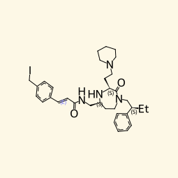 CC[C@H](CN1CC[C@@H](CNC(=O)/C=C/c2ccc(CI)cc2)N[C@@H](CCN2CCCCC2)C1=O)c1ccccc1